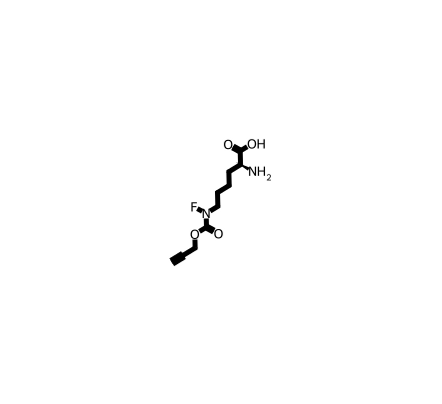 C#CCOC(=O)N(F)CCCC[C@H](N)C(=O)O